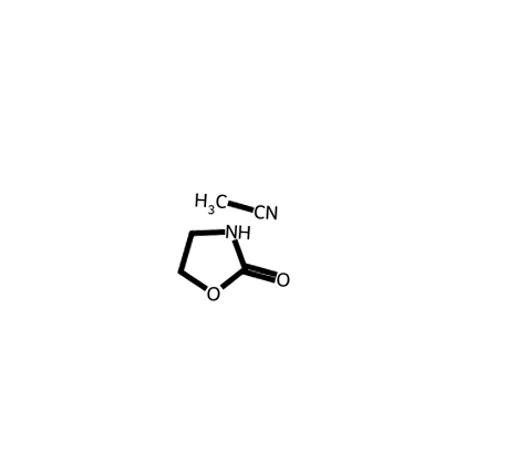 CC#N.O=C1NCCO1